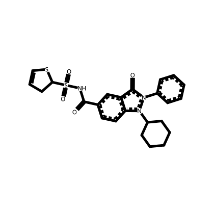 O=C(NS(=O)(=O)C1CC=CS1)c1ccc2c(c1)c(=O)n(-c1ccccc1)n2C1CCCCC1